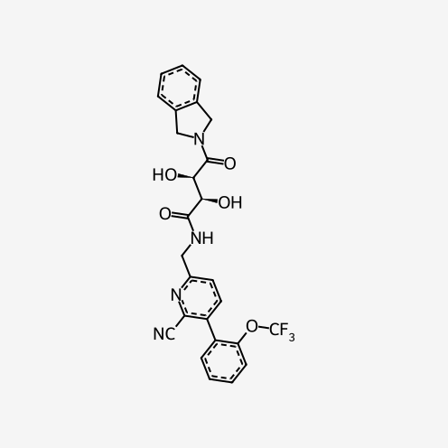 N#Cc1nc(CNC(=O)[C@H](O)[C@@H](O)C(=O)N2Cc3ccccc3C2)ccc1-c1ccccc1OC(F)(F)F